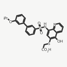 CC(C)Oc1cccc(-c2cccc(S(=O)(=O)Nc3cc(SCC(=O)O)c(O)c4cccnc34)c2)c1